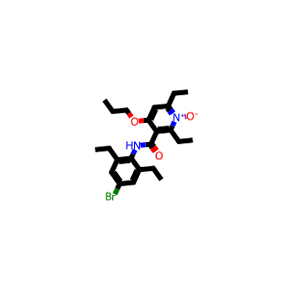 CCCOc1cc(CC)[n+]([O-])c(CC)c1C(=O)Nc1c(CC)cc(Br)cc1CC